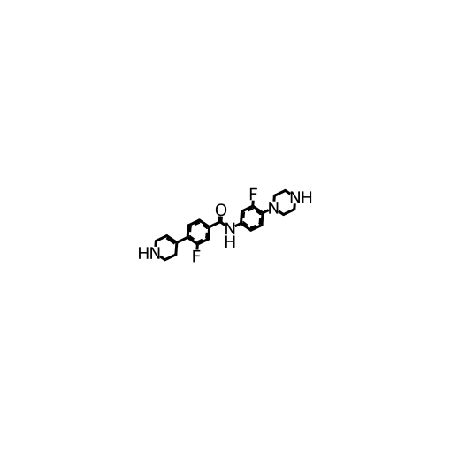 O=C(Nc1ccc(N2CCNCC2)c(F)c1)c1ccc(C2=CCNCC2)c(F)c1